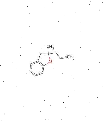 C=CCC1(C)Cc2ccccc2O1